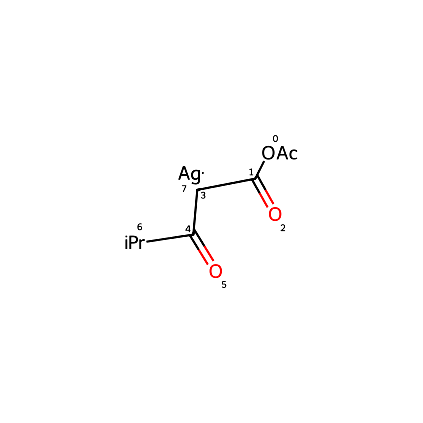 CC(=O)OC(=O)CC(=O)C(C)C.[Ag]